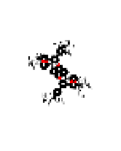 Cc1ccc(N(c2c(F)cc(-c3ccc(C(C)(C)C)cc3)cc2-c2ccc(C(C)(C)C)cc2)c2ccc3ccc4c(N(c5ccc(C)cc5)c5c(F)cc(-c6ccc(C(C)(C)C)cc6)cc5-c5ccc(C(C)(C)C)cc5)ccc5ccc2c3c54)cc1